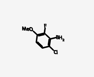 Bc1c(Cl)ccc(OC)c1F